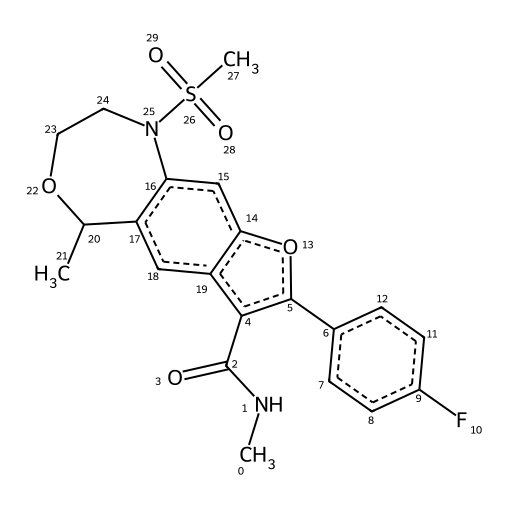 CNC(=O)c1c(-c2ccc(F)cc2)oc2cc3c(cc12)C(C)OCCN3S(C)(=O)=O